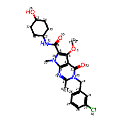 CCc1nc2c(c(OC(C)C)c(C(=O)NC3CCC(O)CC3)n2C)c(=O)n1Cc1cccc(Cl)c1